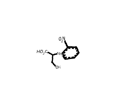 NC(CO)C(=O)O.O=[N+]([O-])c1ccccc1